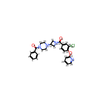 O=C(c1ccccc1)N1CCN(C2CN(C(=O)c3ccc(Oc4ccccn4)c(Cl)c3)C2)CC1